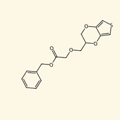 O=C(COCC1COc2cscc2O1)OCc1ccccc1